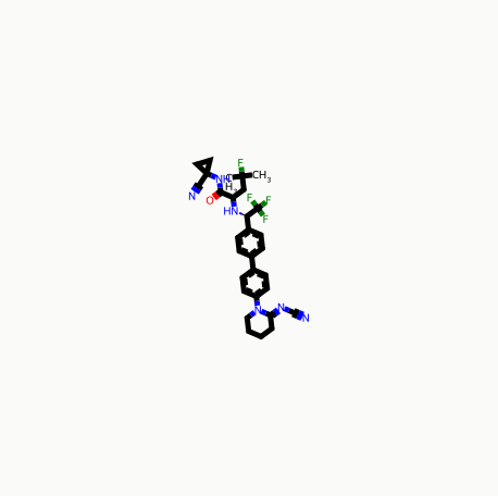 CC(C)(F)CC(N[C@@H](c1ccc(-c2ccc(N3CCCC/C3=N\C#N)cc2)cc1)C(F)(F)F)C(=O)NC1(C#N)CC1